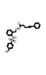 O=C(CCC#Cc1ccccc1)OOCc1ccccc1NS(=O)(=O)c1ccc(Br)cc1